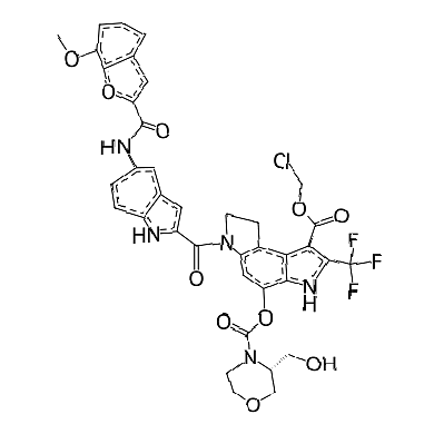 COc1cccc2cc(C(=O)Nc3ccc4[nH]c(C(=O)N5CCc6c5cc(OC(=O)N5CCOC[C@H]5CO)c5[nH]c(C(F)(F)F)c(C(=O)OCCl)c65)cc4c3)oc12